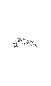 Cc1cccc(Cc2csc(N3CCC(S(=O)(=O)c4ccc(OC(F)(F)F)cc4)CC3)n2)c1